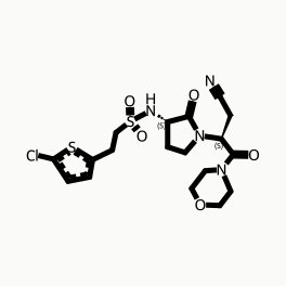 N#CC[C@@H](C(=O)N1CCOCC1)N1CC[C@H](NS(=O)(=O)CCc2ccc(Cl)s2)C1=O